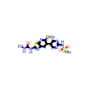 CCNC(=O)Nc1nc2cc(-c3cnc(NS(=O)(=O)C(C)(C)C)nc3)c(OC)nc2s1